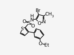 CCOc1cccc(-c2ccsc2S(=O)(=O)Nc2onc(C)c2Br)c1